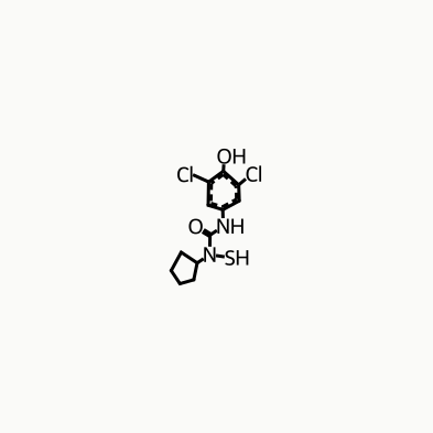 O=C(Nc1cc(Cl)c(O)c(Cl)c1)N(S)C1CCCC1